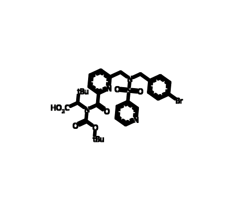 CC(C)(C)OC(=O)N(C(=O)c1cccc(CN(Cc2ccc(Br)cc2)S(=O)(=O)c2cccnc2)n1)C(C(=O)O)C(C)(C)C